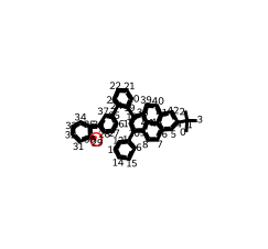 CC(C)(C)c1cc2ccc3c(-c4ccccc4)cc(-c4ccccc4-c4ccc5oc6ccccc6c5c4)c4ccc(c1)c2c34